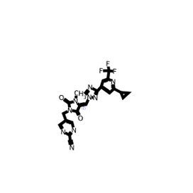 CN1C(=O)N(Cc2cnc(C#N)nc2)C(=O)/C1=C/n1cnc(-c2cc(C3CC3)nc(C(F)(F)F)c2)n1